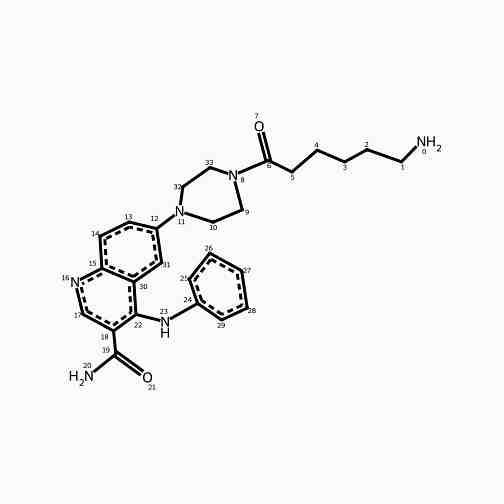 NCCCCCC(=O)N1CCN(c2ccc3ncc(C(N)=O)c(Nc4ccccc4)c3c2)CC1